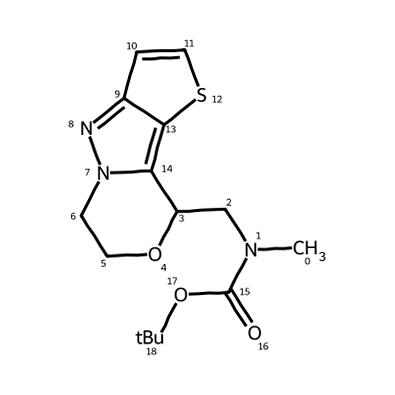 CN(CC1OCCn2nc3ccsc3c21)C(=O)OC(C)(C)C